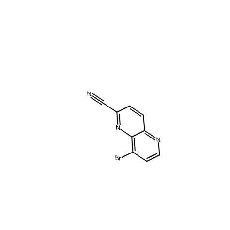 N#Cc1ccc2nccc(Br)c2n1